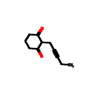 CCC#CCC1C(=O)CCCC1=O